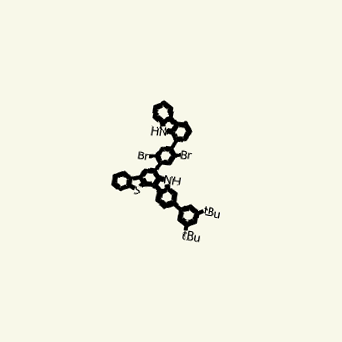 CC(C)(C)c1cc(-c2ccc3c(c2)[nH]c2c(-c4cc(Br)c(-c5cccc6c5[nH]c5ccccc56)cc4Br)cc4c5ccccc5sc4c23)cc(C(C)(C)C)c1